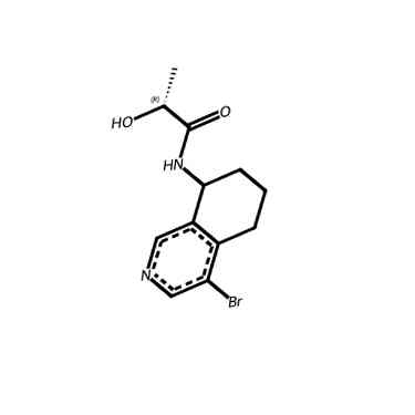 C[C@@H](O)C(=O)NC1CCCc2c(Br)cncc21